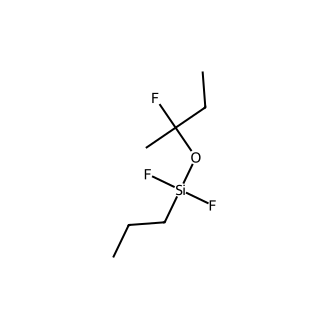 CCC[Si](F)(F)OC(C)(F)CC